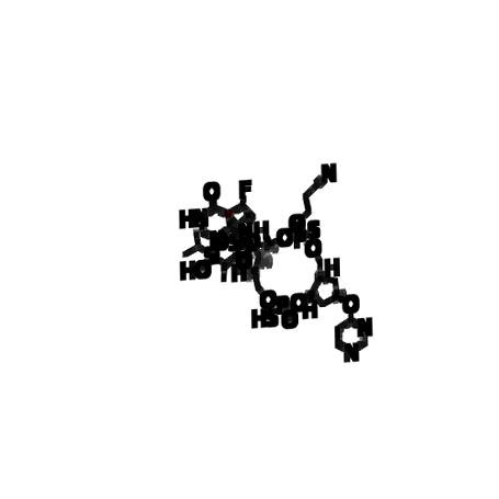 CC(C)[Si](O)(O[Si](O[C@H]1[C@H]2O[P@@](=S)(OCCC#N)OC[C@H]3C[C@@H](Oc4ccncn4)C[C@@H]3O[P@](=O)(S)OC[C@H]1O[C@H]2n1cc(F)c2c(=O)[nH]cnc21)(C(C)C)C(C)C)C(C)C